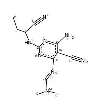 CCC(C#N)Nc1nc(N)c(C#N)c(/N=C/N(C)C)n1